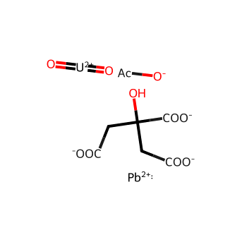 CC(=O)[O-].O=C([O-])CC(O)(CC(=O)[O-])C(=O)[O-].[O]=[U+2]=[O].[Pb+2]